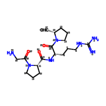 N=C(N)NCCC[C@H](NC(=O)[C@@H]1CCCN1C(=O)CN)C(=O)N1CCC[C@H]1[C]=O